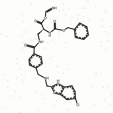 N=COC(=O)[C@H](CNC(=O)c1ccc(CNCc2nc3cc(Cl)ccc3[nH]2)cc1)NC(=O)OCc1ccccc1